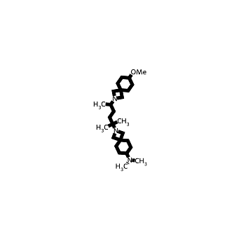 COC1CCC2(CC1)CN(C(C)CCC(C)(C)N1CC3(CCC(N(C)C)CC3)C1)C2